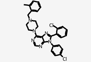 Cc1ccccc1CN1CCN(c2ncnc3c2nc(-c2ccccc2Cl)n3-c2ccc(Cl)cc2)CC1